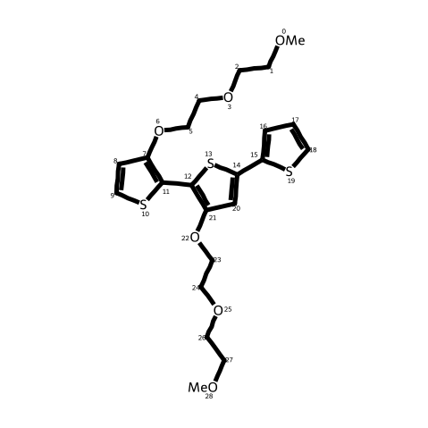 COCCOCCOc1ccsc1-c1sc(-c2cccs2)cc1OCCOCCOC